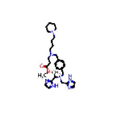 COC(=O)CCN(CCCCN1CCCCC1)Cc1ccc(CN(Cc2ncc[nH]2)C(C)c2ncc[nH]2)cc1